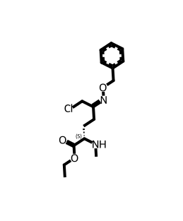 CCOC(=O)[C@H](CCC(CCl)=NOCc1ccccc1)NC